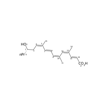 CCC[C@H](O)CC=C(C)C=CC=C(C)C=C(C)C=CC(=O)O